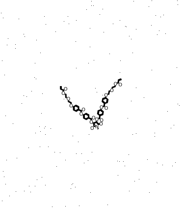 C=CC(=O)OCCOCCOc1ccc(C(=O)Oc2ccc(C(=O)O[C@H]3C(=O)N(C)C(=O)[C@@H]3OC(=O)c3ccc(OC(=O)c4ccc(OCCOCCOC(=O)C=C)cc4)cc3)cc2)cc1